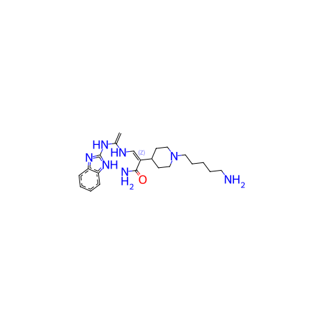 C=C(N/C=C(\C(N)=O)C1CCN(CCCCCN)CC1)Nc1nc2ccccc2[nH]1